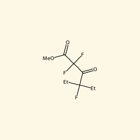 CCC(F)(CC)C(=O)C(F)(F)C(=O)OC